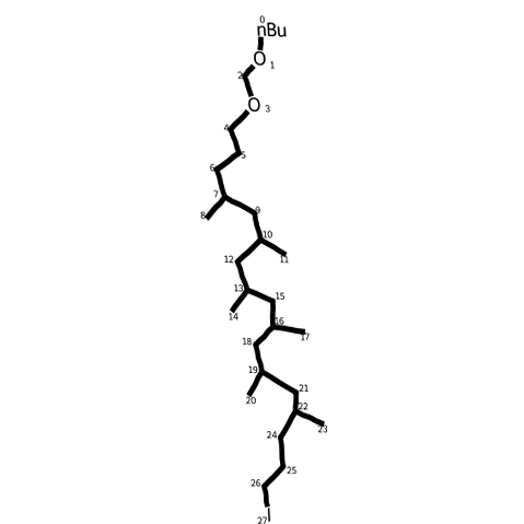 CCCCOCOCCCC(C)CC(C)CC(C)CC(C)CC(C)CC(C)CCCI